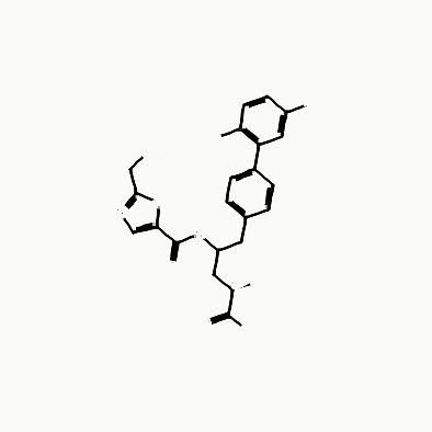 CCc1ncc(C(=O)NC(Cc2ccc(-c3cc(Cl)ccc3F)cc2)C[C@@H](C)C(=O)O)o1